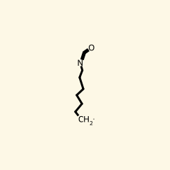 [CH2]CCCCCCN=C=O